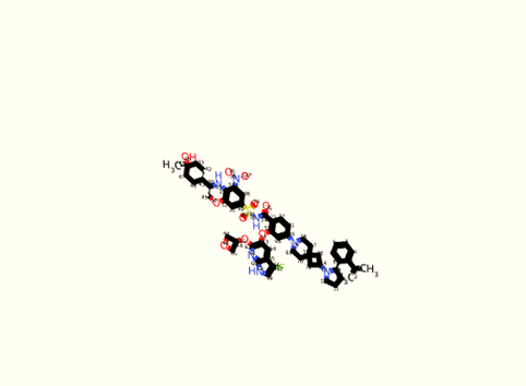 CC(C)c1ccccc1[C@H]1CCCN1C1CC2(CCN(c3ccc(C(=O)NS(=O)(=O)c4cc5c(c([N+](=O)[O-])c4)N[C@@H]([C@H]4CC[C@](C)(O)CC4)CO5)c(Oc4cc5c(F)c[nH]c5nc4OC4COC4)c3)CC2)C1